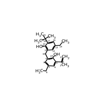 C=C(C)c1cc(CC)cc(Cc2cc(CC)cc(C(C)(C)C)c2O)c1O